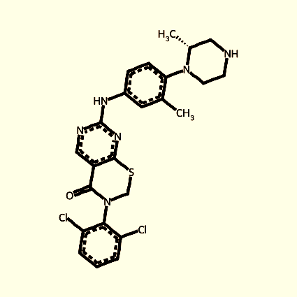 Cc1cc(Nc2ncc3c(n2)SCN(c2c(Cl)cccc2Cl)C3=O)ccc1N1CCNC[C@H]1C